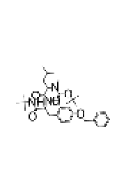 CC(C)CC(C(=O)NC(Cc1ccc(OCc2ccccc2)cc1)C(=O)NC(C)(C)C)N(C)C(=O)OC(C)(C)C